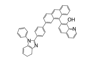 Oc1c(-c2c3ccccc3cc3ccc(-c4ccc(-c5nc6c(n5-c5ccccc5)C=CCC6)cc4)cc23)ccc2cccnc12